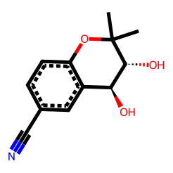 CC1(C)Oc2ccc(C#N)cc2[C@H](O)[C@H]1O